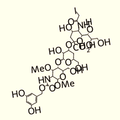 COC1C(NC(=O)OCc2cc(O)cc(O)c2)[C@H](OC)OC(CO)[C@H]1O[C@@H]1OC(CO)CC(O[C@]2(C(=O)O)CC(O)[C@@H](NC(=O)CI)C([C@H](O)[C@H](O)CO)O2)C1O